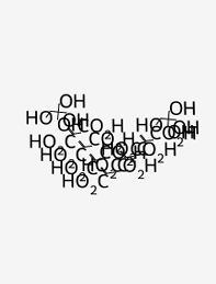 C=C(CC(=O)O)C(=O)O.C=C(CC(=O)O)C(=O)O.C=C(CC(=O)O)C(=O)O.C=C(CC(=O)O)C(=O)O.C=C(CC(=O)O)C(=O)O.C=C(CC(=O)O)C(=O)O.OCC(CO)(CO)CO.OCC(CO)(CO)CO